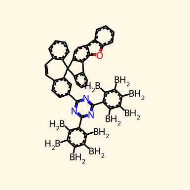 Bc1c(B)c(B)c(-c2nc(-c3ccc4c(c3)C3(c5ccccc5C=C4)c4ccccc4-c4c3ccc3c4oc4ccccc43)nc(-c3c(B)c(B)c(B)c(B)c3B)n2)c(B)c1B